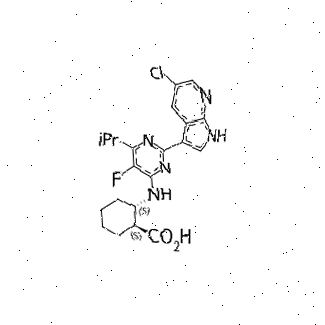 CC(C)c1nc(-c2c[nH]c3ncc(Cl)cc23)nc(N[C@H]2CCCC[C@@H]2C(=O)O)c1F